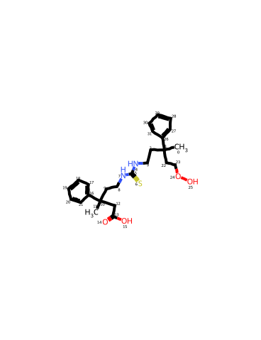 CC(CCNC(=S)NCCC(C)(CC(=O)O)c1ccccc1)(CCOO)c1ccccc1